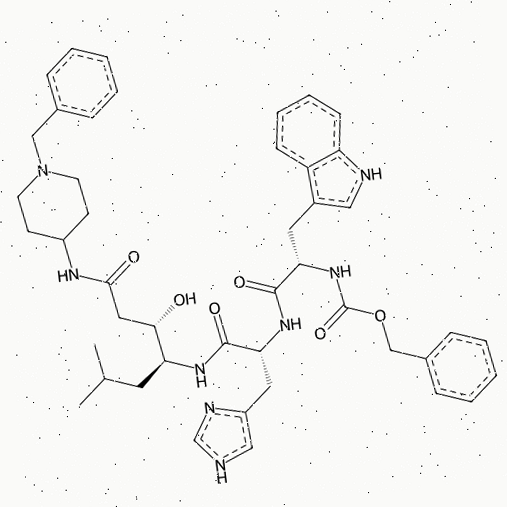 CC(C)C[C@H](NC(=O)[C@@H](Cc1c[nH]cn1)NC(=O)[C@H](Cc1c[nH]c2ccccc12)NC(=O)OCc1ccccc1)[C@@H](O)CC(=O)NC1CCN(Cc2ccccc2)CC1